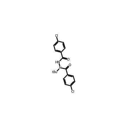 CC(C)(C)N(NC(=O)c1ccc(Cl)cc1)C(=O)c1ccc(Cl)cc1